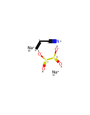 C=CC#N.O=S([O-])S(=O)[O-].[Na+].[Na+]